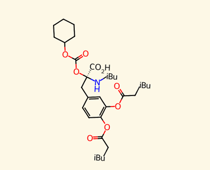 CCC(C)CC(=O)Oc1ccc(C[C@](NC(C)CC)(OC(=O)OC2CCCCC2)C(=O)O)cc1OC(=O)CC(C)CC